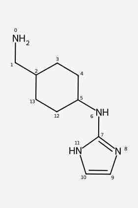 NCC1CCC(Nc2ncc[nH]2)CC1